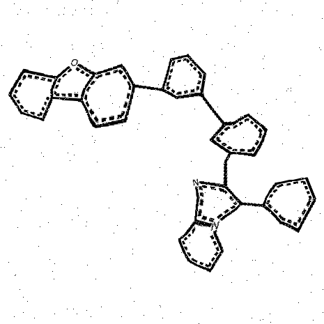 c1ccc(-c2c(-c3cccc(-c4cccc(-c5ccc6c(c5)oc5ccccc56)c4)c3)nc3ccccn23)cc1